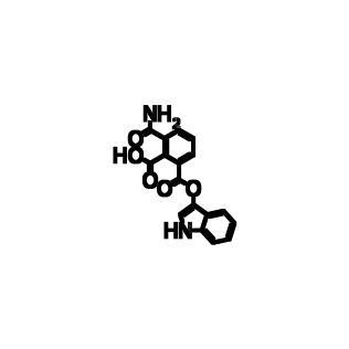 NC(=O)c1cccc(C(=O)Oc2c[nH]c3ccccc23)c1C(=O)O